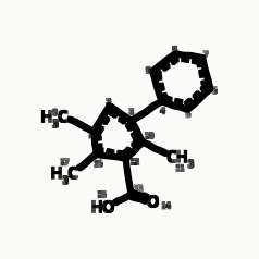 Cc1cc(-c2ccccc2)c(C)c(C(=O)O)c1C